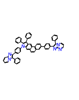 c1ccc(-c2c(-c3ccccc3)n(-c3ccc(-c4nc5ccccn5c4-c4ccccc4)cc3)c3cc4ccc5cc(-c6ccc(-c7nc8ncccn8c7-c7ccccc7)cc6)ccc5c4cc23)cc1